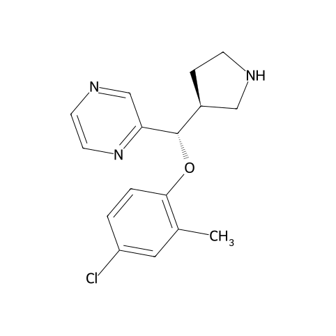 Cc1cc(Cl)ccc1O[C@H](c1cnccn1)[C@H]1CCNC1